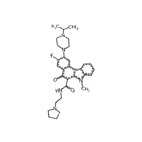 CC(C)N1CCN(c2cc3c(cc2F)c(=O)c(C(=O)NCCN2CCCC2)c2n(C)c4ccccc4n32)CC1